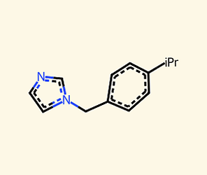 CC(C)c1ccc(Cn2ccnc2)cc1